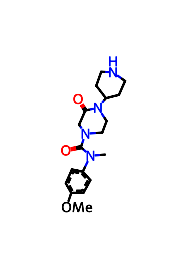 COc1ccc(N(C)C(=O)N2CCN(C3CCNCC3)C(=O)C2)cc1